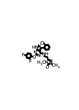 Cn1nc(CCNc2nc(Oc3ccc(F)cc3F)nc3[nH]nc(-c4ccccc4Cl)c23)n(C)c1=O